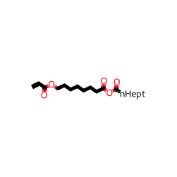 C=CC(=O)OCCCCCCCC(=O)OC(=O)CCCCCCC